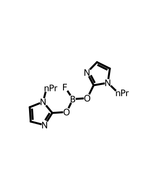 CCCn1ccnc1OB(F)Oc1nccn1CCC